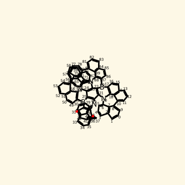 c1cc2cccc3c2c(c1)c1cccc2ccc4c(c21)n3-c1c2c(c3c5c1-n1c6cccc7cccc(c8cccc9ccc(c1c98)B5c1ccc5cccc8c9cccc%10cccc(c%109)n-3c1c58)c76)-n1c3cccc5cccc(c6cccc7ccc(c1c76)B24)c53